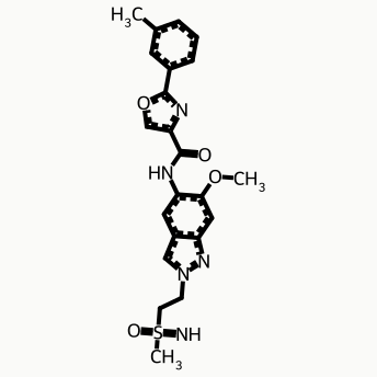 COc1cc2nn(CCS(C)(=N)=O)cc2cc1NC(=O)c1coc(-c2cccc(C)c2)n1